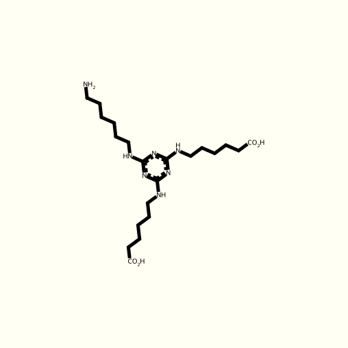 NCCCCCCNc1nc(NCCCCCC(=O)O)nc(NCCCCCC(=O)O)n1